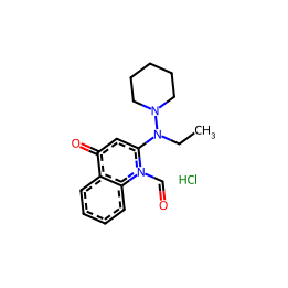 CCN(c1cc(=O)c2ccccc2n1C=O)N1CCCCC1.Cl